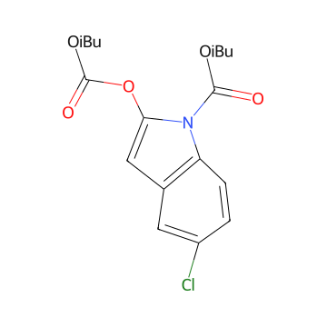 CC(C)COC(=O)Oc1cc2cc(Cl)ccc2n1C(=O)OCC(C)C